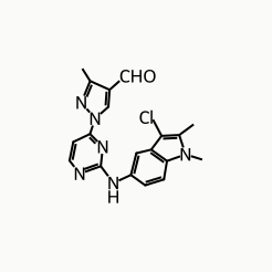 Cc1nn(-c2ccnc(Nc3ccc4c(c3)c(Cl)c(C)n4C)n2)cc1C=O